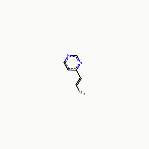 C/C=C/c1ccncn1